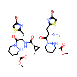 COC(=O)[C@@H]1CCCN(C(=O)[C@@H](N)Cc2nc(Br)cs2)N1.COC(=O)[C@@H]1CCCN(C(=O)[C@H](Cc2nc(Br)cs2)NC(=O)[C@H]2C[C@@H]2C)N1